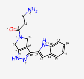 NCCC(=O)N1Cc2[nH]nc(-c3cc4ccccc4[nH]3)c2C1